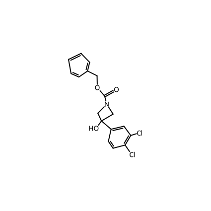 O=C(OCc1ccccc1)N1CC(O)(c2ccc(Cl)c(Cl)c2)C1